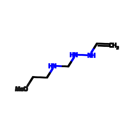 C=CNNCNCCOC